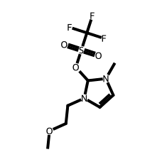 COCCN1C=CN(C)C1OS(=O)(=O)C(F)(F)F